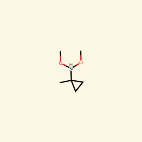 CO[SiH](OC)C1(C)CC1